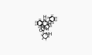 O=C([C@H]1CCCCN1)N1CC[C@H]2[C@@H](c3ccccc3)Nc3ccccc3[C@H]21